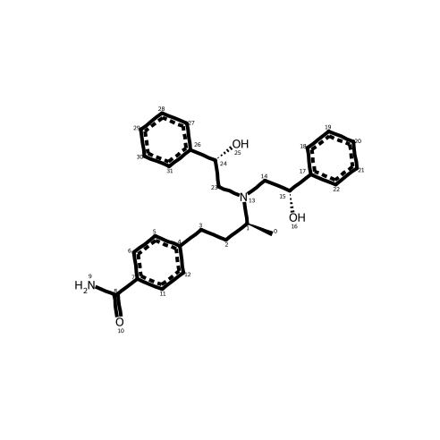 C[C@@H](CCc1ccc(C(N)=O)cc1)N(C[C@@H](O)c1ccccc1)C[C@@H](O)c1ccccc1